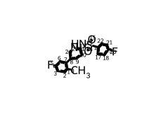 Cc1ccc(F)cc1-c1ccc(NS(=O)(=O)c2ccc(F)cc2)nc1